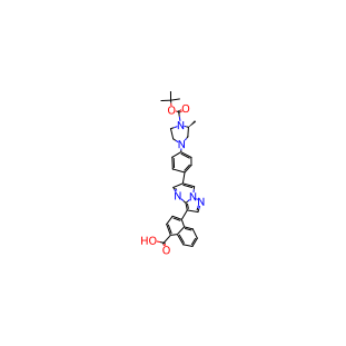 C[C@H]1CN(c2ccc(-c3cnc4c(-c5ccc(C(=O)O)c6ccccc56)cnn4c3)cc2)CCN1C(=O)OC(C)(C)C